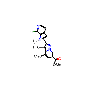 COC(=O)c1cc(OC)c2c(C)c(-c3cc4ccnc(Cl)c4n3C)nn2c1